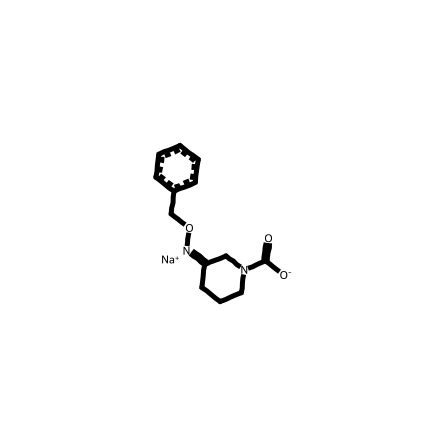 O=C([O-])N1CCCC(=NOCc2ccccc2)C1.[Na+]